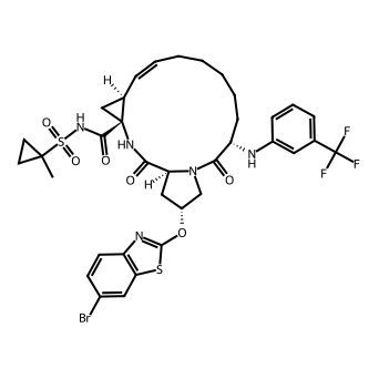 CC1(S(=O)(=O)NC(=O)[C@@]23C[C@H]2/C=C\CCCCC[C@H](Nc2cccc(C(F)(F)F)c2)C(=O)N2C[C@H](Oc4nc5ccc(Br)cc5s4)C[C@H]2C(=O)N3)CC1